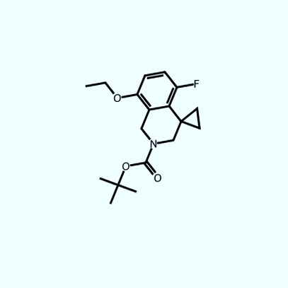 CCOc1ccc(F)c2c1CN(C(=O)OC(C)(C)C)CC21CC1